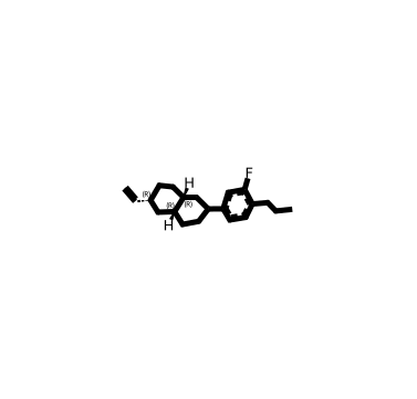 C=C[C@@H]1CC[C@@H]2CC(c3ccc(CCC)c(F)c3)CC[C@@H]2C1